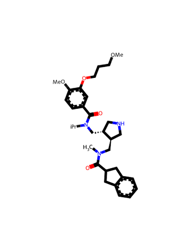 COCCCOc1cc(C(=O)N(C[C@@H]2CNC[C@H]2CN(C)C(=O)C2Cc3ccccc3C2)C(C)C)ccc1OC